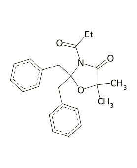 CCC(=O)N1C(=O)C(C)(C)OC1(Cc1ccccc1)Cc1ccccc1